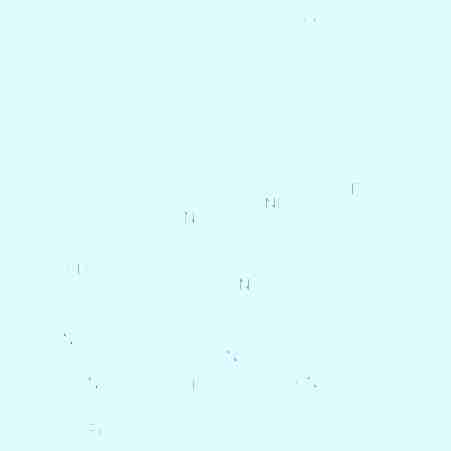 Cc1nn(C(C)C)c(C)c1-c1cnc(NCc2c(F)ccc3c2CCO3)n2cc(C#N)nc12